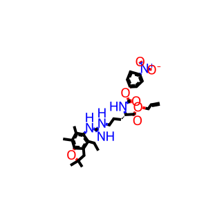 C=CCOC(=O)[C@H](CCCNC(=N)Nc1c(C)c(C)c2c(c1CC)CC(C)(C)O2)NC(=O)Oc1ccc([N+](=O)[O-])cc1